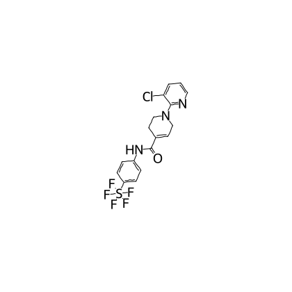 O=C(Nc1ccc(S(F)(F)(F)(F)F)cc1)C1=CCN(c2ncccc2Cl)CC1